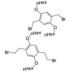 CCCCCCOc1cc(CBr)c(OCCCCCC)cc1CBr.CCCCCCOc1cc(CCBr)c(OCCCCCC)cc1CCBr